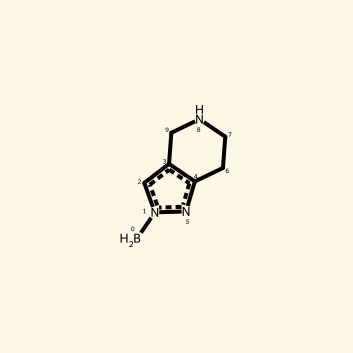 Bn1cc2c(n1)CCNC2